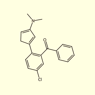 CN(C)C1=CCC(c2ccc(Cl)cc2C(=O)c2ccccc2)=C1